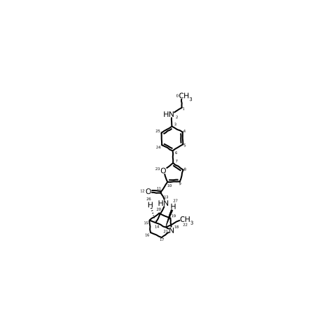 CCNc1ccc(-c2ccc(C(=O)N[C@@H]3C4CCN(CC4)[C@H]3C)o2)cc1